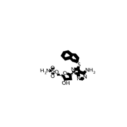 Nc1ncnc2c1c(Sc1ccc3ccccc3c1)nn2[C@H]1C[C@H](O)[C@H](COS(N)(=O)=O)O1